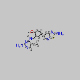 Cc1nc(N)nc(N2CCOc3ccc(-c4cnc5sc(N)nc5c4)cc3C2)c1C1CC1